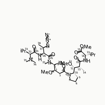 CC[C@H](C)[C@@H]([C@@H](CC(=O)N1CCC[C@H]1[C@H](OC)[C@@H](C)C(=O)N[C@H](C(=O)OC)C(C)C)OC)N(C)C(=O)[C@@H](NC(=O)[C@H](C(C)C)N(C)C)C(C)N=[N+]=[N-]